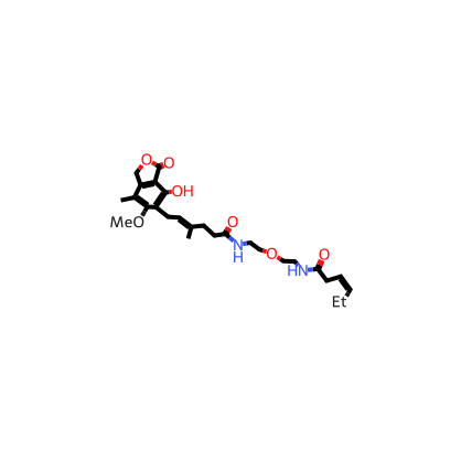 CC/C=C\CC(=O)NCCOCCNC(=O)CC/C(C)=C/Cc1c(O)c2c(c(C)c1OC)COC2=O